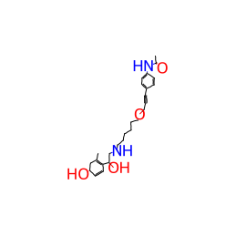 CC(=O)Nc1ccc(C#CCOCCCCCCNCC(O)C2=C(C)CC(O)C=C2)cc1